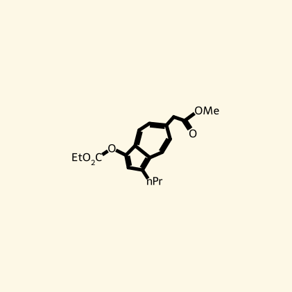 CCCc1cc(OC(=O)OCC)c2ccc(CC(=O)OC)ccc1-2